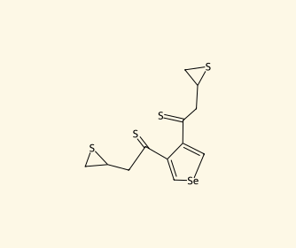 S=C(CC1CS1)c1c[se]cc1C(=S)CC1CS1